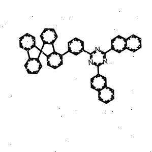 c1cc(-c2nc(-c3ccc4ccccc4c3)nc(-c3ccc4ccccc4c3)n2)cc(-c2cccc3c2-c2ccccc2C32c3ccccc3-c3ccccc32)c1